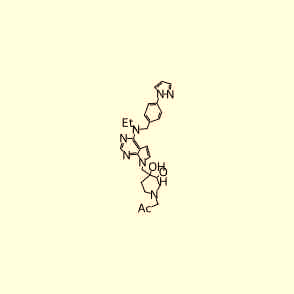 CCN(Cc1ccc(-n2cccn2)cc1)c1ncnc2c1ccn2CC1(O)CCN(CC(C)=O)CC1O